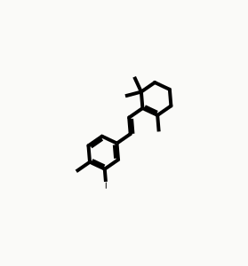 CC1=C(/C=C/c2ccc(C)c(I)c2)C(C)(C)CCC1